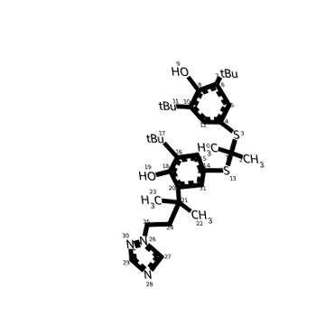 CC(C)(Sc1cc(C(C)(C)C)c(O)c(C(C)(C)C)c1)Sc1cc(C(C)(C)C)c(O)c(C(C)(C)CCn2cncn2)c1